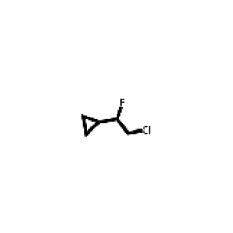 FC(CCl)C1CC1